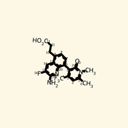 Cc1cc(C(F)(F)F)c(-c2ccc(CCC(=O)O)c3cc(F)c(N)nc23)c(=O)n1C